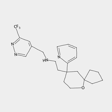 FC(F)(F)c1cc(CNCCC2(c3ccccn3)CCOC3(CCCC3)C2)cnn1